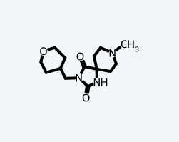 CN1CCC2(CC1)NC(=O)N(CC1CCOCC1)C2=O